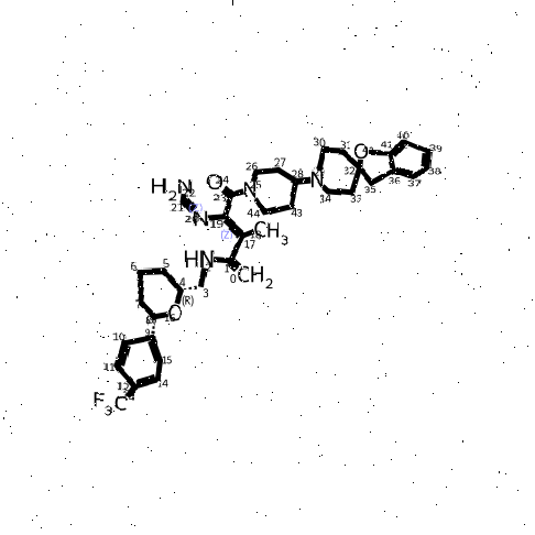 C=C(NC[C@H]1CCC[C@@H](c2ccc(C(F)(F)F)cc2)O1)/C(C)=C(\N=C/N)C(=O)N1CCC(N2CCC3(CC2)Cc2ccccc2O3)CC1